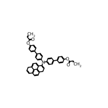 C=CC(=O)Oc1ccc(-c2ccc(N(C3=CCc4ccc5c6c(ccc3c46)CC=C5)c3ccc(-c4ccc(OC(=O)C=C)cc4)cc3)cc2)cc1